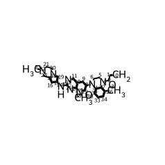 C=CC(=O)N1CCN(c2cc3cnc(Nc4cc5n(c4)CCN(C)C5)nc3n(C)c2=O)c2cccc(C)c21